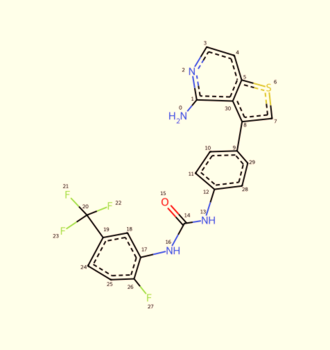 Nc1nccc2scc(-c3ccc(NC(=O)Nc4cc(C(F)(F)F)ccc4F)cc3)c12